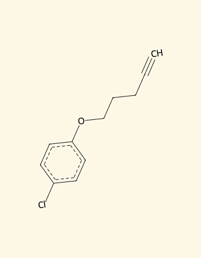 C#CCCCOc1ccc(Cl)cc1